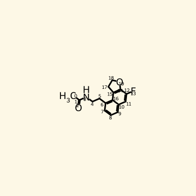 CC(=O)NCCc1cccc2cc(F)c3c(c12)CCO3